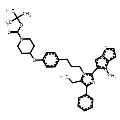 CCc1c(-c2ccccc2)nc(-c2cc3sccc3n2C)n1CCCc1ccc(OC2CCN(C(=O)OC(C)(C)C)CC2)cc1